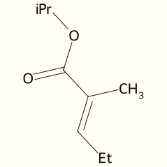 CC/C=C(\C)C(=O)OC(C)C